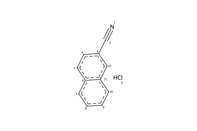 Cl.N#Cc1ccc2ccccc2c1